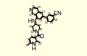 CC1=CC=C(C(=O)N2CCC(Nc3cc(-c4cccc(C#N)c4)cc4ccncc34)CC2)C(C)N1